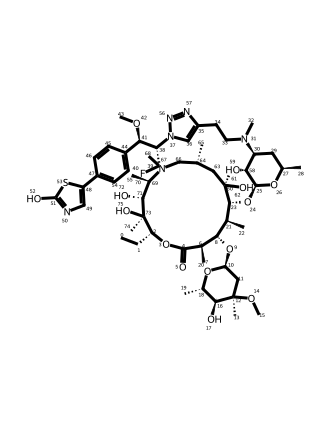 CC[C@H]1OC(=O)[C@H](C)[C@@H](O[C@H]2C[C@@](C)(OC)[C@@H](O)[C@H](C)O2)[C@H](C)[C@@H](O[C@@H]2O[C@H](C)C[C@H](N(C)CCc3cn([C@H](CF)[C@H](OC)c4ccc(-c5cnc(O)s5)cc4)nn3)[C@H]2O)[C@](C)(O)C[C@@H](C)CN(C)[C@H](C)[C@@H](O)[C@]1(C)O